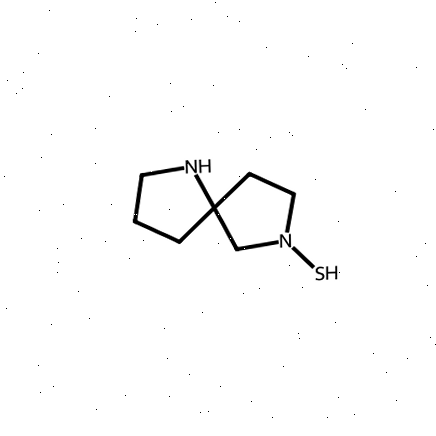 SN1CCC2(CCCN2)C1